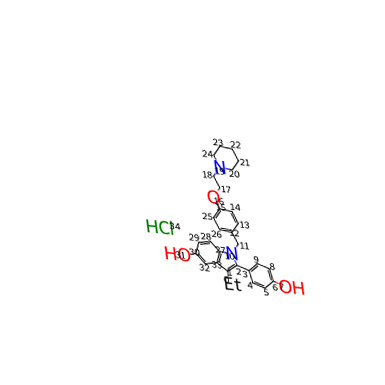 CCc1c(-c2ccc(O)cc2)n(Cc2ccc(OCCN3CCCCC3)cc2)c2ccc(O)cc12.Cl